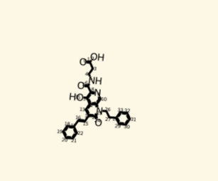 O=C(O)CCNC(=O)c1ncc2c(cc(C=Cc3ccccc3)c(=O)n2CCc2ccccc2)c1O